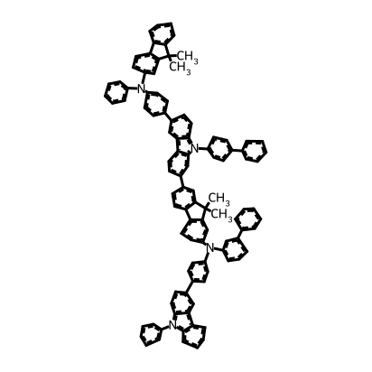 CC1(C)c2ccccc2-c2ccc(N(c3ccccc3)c3ccc(-c4ccc5c(c4)c4ccc(-c6ccc7c(c6)C(C)(C)c6cc(N(c8ccc(-c9ccc%10c(c9)c9ccccc9n%10-c9ccccc9)cc8)c8cccc(-c9ccccc9)c8)ccc6-7)cc4n5-c4ccc(-c5ccccc5)cc4)cc3)cc21